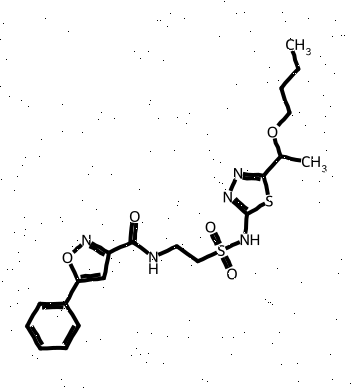 CCCCOC(C)c1nnc(NS(=O)(=O)CCNC(=O)c2cc(-c3ccccc3)on2)s1